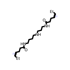 CC/C=C\CCC(=O)NCCCCNCCCNC(=O)CC/C=C\CC